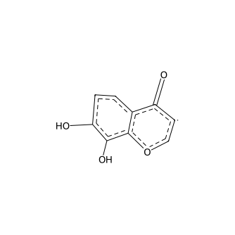 O=c1[c]coc2c(O)c(O)ccc12